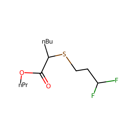 CCCCC(SCCC(F)F)C(=O)OCCC